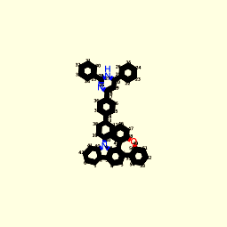 C1=CC2c3ccc4c(c3N(C3=CCC(c5ccc(C6=CC(c7ccccc7)NC(c7ccccc7)=N6)cc5)C=C3)C2C=C1)-c1ccccc1Oc1ccccc1-4